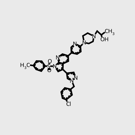 Cc1ccc(S(=O)(=O)n2cc(-c3cnn(Cc4cccc(Cl)c4)c3)c3cc(-c4ccc(N5CCN(CC(C)O)CC5)nc4)cnc32)cc1